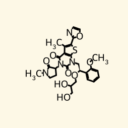 COc1ccccc1[C@H](Cn1c(=O)n(C2CCN(C)C2=O)c(=O)c2c(C)c(-c3ncco3)sc21)OCC(O)CO